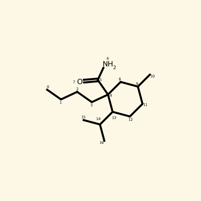 CCCCC1(C(N)=O)CC(C)CCC1C(C)C